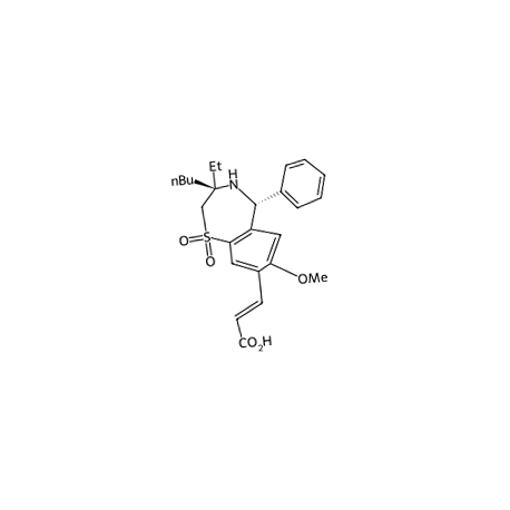 CCCC[C@]1(CC)CS(=O)(=O)c2cc(/C=C/C(=O)O)c(OC)cc2[C@@H](c2ccccc2)N1